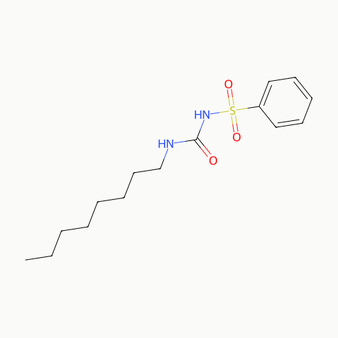 CCCCCCCCNC(=O)NS(=O)(=O)c1ccccc1